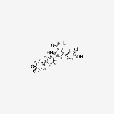 NC(=O)c1cc(-c2ccc(O)c(Cl)c2)cc2c1[nH]c1cc(N3CCS(=O)(=O)CC3)ccc12